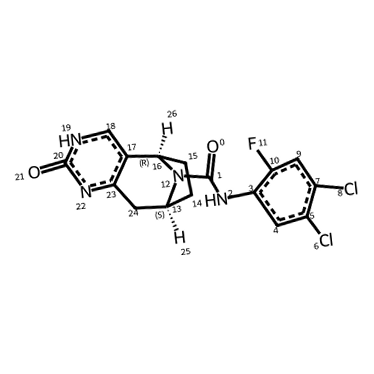 O=C(Nc1cc(Cl)c(Cl)cc1F)N1[C@H]2CC[C@@H]1c1c[nH]c(=O)nc1C2